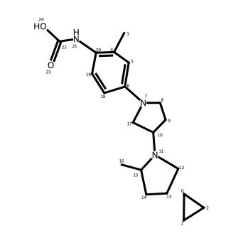 C1CC1.Cc1cc(N2CCC(N3CCCC3C)C2)ccc1NC(=O)O